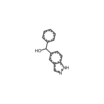 OC(c1ccccc1)c1ccc2[nH]ncc2c1